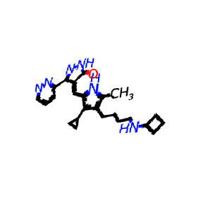 Cc1[nH]c(C=C2C(=O)NN=C2c2cccnn2)c(C2CC2)c1CCCCNC1CCC1